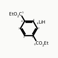 CCOC(=O)c1ccc(C(=O)OCC)cc1.[LiH]